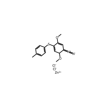 COC1=CC(=[N+]=[N-])C(OC)C=C1Sc1ccc(C)cc1.[Cl-].[Cl-].[Zn+2]